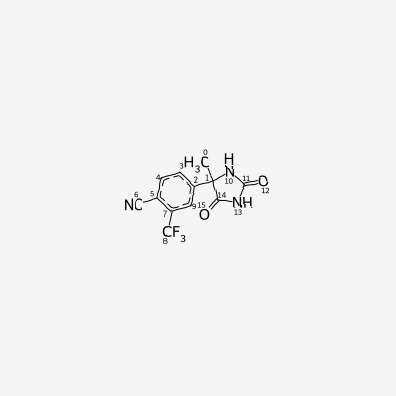 CC1(c2ccc(C#N)c(C(F)(F)F)c2)NC(=O)NC1=O